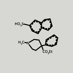 CCOC(=O)C1(c2ccccc2)CCN(C)CC1.O=S(=O)(O)c1ccc2ccccc2c1